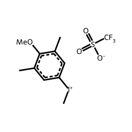 COc1c(C)cc([I+]C)cc1C.O=S(=O)([O-])C(F)(F)F